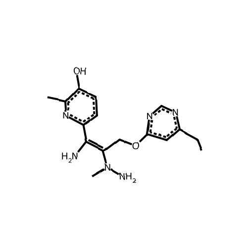 CCc1cc(OC/C(=C(/N)c2ccc(O)c(C)n2)N(C)N)ncn1